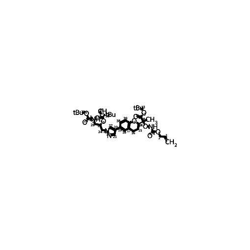 C=CCOC(=O)NOC(C)(C(=O)OC(C)(C)C)[C@H]1CCc2cc(-c3cnn(CC(CNC(=O)OC(C)(C)C)O[Si](C)(C)C(C)(C)C)c3)ccc2O1